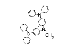 CCn1c2ccc(N(c3ccccc3)c3ccccc3)cc2c2cc(N(c3ccccc3)c3ccccc3)ccc21